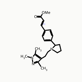 COC(=O)/C=C/c1ccc(C2CCCN2CCc2c(C)nn(C)c2C)cc1